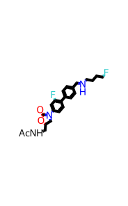 CC(=O)NCC1CN(c2ccc(-c3ccc(CNCCCCF)cc3)c(F)c2)C(=O)O1